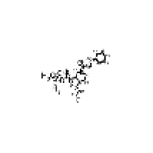 CC(C)(C)OC(=O)N1CC(CCCl)C2CCN(C(=O)OCc3ccccc3)CC21